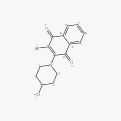 O=C1C(Br)=C(N2CCC(O)CC2)C(=O)c2ccccc21